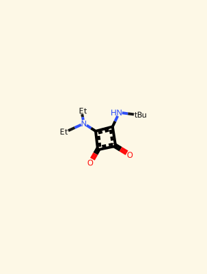 CCN(CC)c1c(NC(C)(C)C)c(=O)c1=O